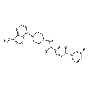 Cc1csc2c(N3CCC(NC(=O)c4ccc(-c5cccc(F)c5)nc4)CC3)ncnc12